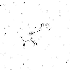 C=C(C)C(=O)NC[C]=O